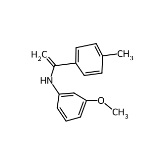 C=C(Nc1cccc(OC)c1)c1ccc(C)cc1